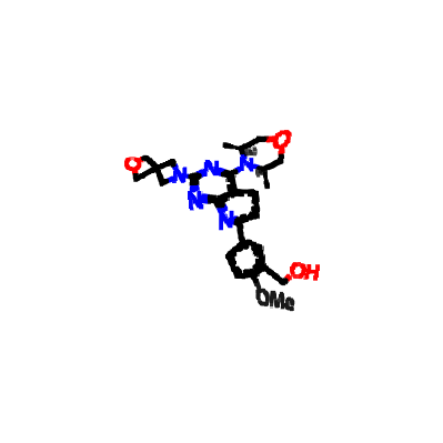 COc1ccc(-c2ccc3c(N4[C@H](C)COC[C@@H]4C)nc(N4CC5(COC5)C4)nc3n2)cc1CO